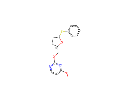 COc1ccnc(OC[C@@H]2CCC(Sc3ccccc3)O2)n1